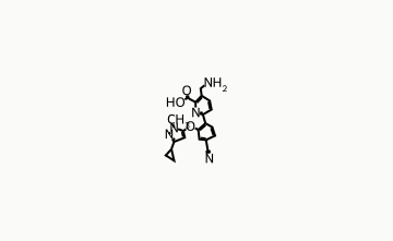 Cn1nc(C2CC2)cc1Oc1cc(C#N)ccc1-c1ccc(CN)c(C(=O)O)n1